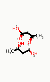 CC(=O)CC(=O)O.CC(O)CCO